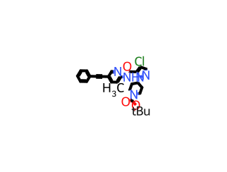 Cc1cc(C#Cc2ccccc2)cnc1NC(=O)c1c(Cl)cnn1C1CCN(C(=O)OC(C)(C)C)CC1